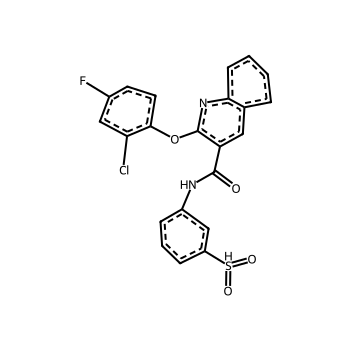 O=C(Nc1cccc([SH](=O)=O)c1)c1cc2ccccc2nc1Oc1ccc(F)cc1Cl